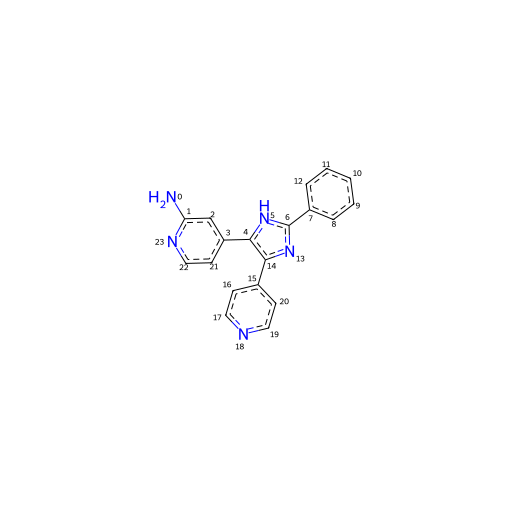 Nc1cc(-c2[nH]c(-c3ccccc3)nc2-c2ccncc2)ccn1